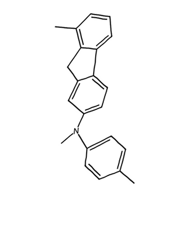 Cc1ccc(N(C)c2ccc3c(c2)Cc2c(C)cccc2-3)cc1